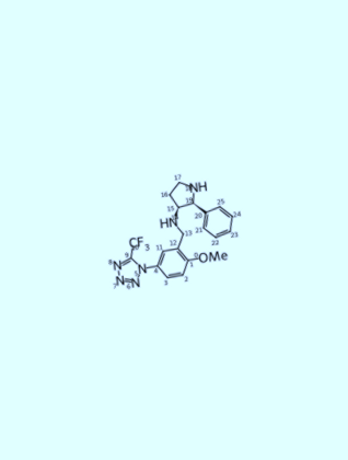 COc1ccc(-n2nnnc2C(F)(F)F)cc1CN[C@H]1CCN[C@H]1c1ccccc1